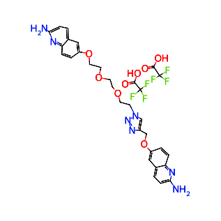 Nc1ccc2cc(OCCOCCOCCn3cc(COc4ccc5nc(N)ccc5c4)nn3)ccc2n1.O=C(O)C(F)(F)F.O=C(O)C(F)(F)F